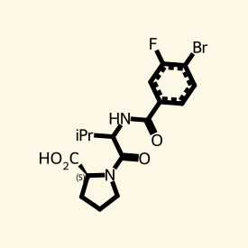 CC(C)C(NC(=O)c1ccc(Br)c(F)c1)C(=O)N1CCC[C@H]1C(=O)O